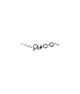 CCCCCCCc1ccc(OC(=O)c2ccc(-c3ccc(CCC)cc3)cc2)c(F)c1F